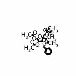 COC(C)[C@@]1(COS(C)(=O)=O)OC(OC(C)=O)[C@H](OC(C)=O)[C@@H]1OCc1ccccc1